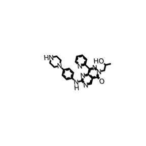 CC(O)Cn1nc(-c2ccccn2)c2nc(Nc3ccc(N4CCNCC4)cc3)ncc2c1=O